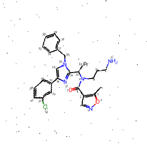 Cc1oncc1C(=O)N(CCCN)[C@@H](c1nc(-c2cccc(Cl)c2)cn1Cc1ccccc1)C(C)C